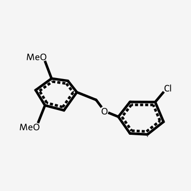 COc1cc(COc2c[c]cc(Cl)c2)cc(OC)c1